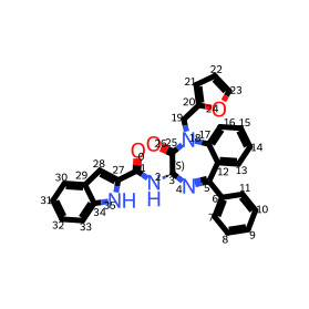 O=C(N[C@H]1N=C(c2ccccc2)c2ccccc2N(Cc2ccco2)C1=O)c1cc2ccccc2[nH]1